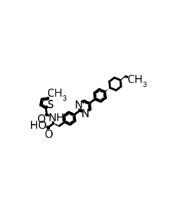 CC[C@H]1CC[C@H](c2ccc(-c3cnc(-c4ccc(C[C@H](NC(=O)c5ccc(C)s5)C(=O)O)cc4)nc3)cc2)CC1